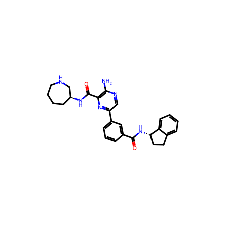 Nc1ncc(-c2cccc(C(=O)N[C@H]3CCc4ccccc43)c2)nc1C(=O)N[C@H]1CCCCNC1